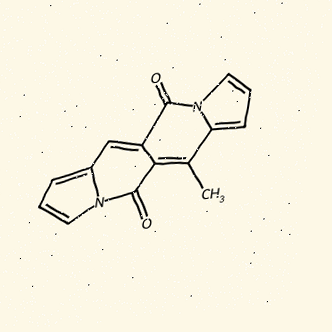 Cc1c2c(=O)n3cccc3cc2c(=O)n2cccc12